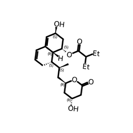 CCC(CC)C(=O)O[C@H]1C[C@H](O)C=C2C=CC[C@@H]([C@@H](C)C[C@@H]3C[C@@H](O)CC(=O)O3)[C@H]21